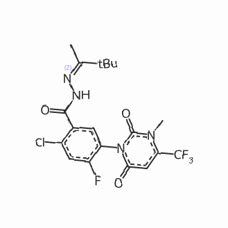 C/C(=N/NC(=O)c1cc(-n2c(=O)cc(C(F)(F)F)n(C)c2=O)c(F)cc1Cl)C(C)(C)C